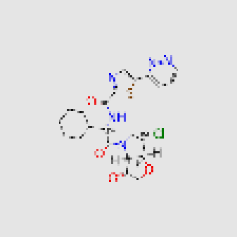 O=C(N[C@H](C(=O)N1C[C@H](Cl)[C@H]2OCC(=O)[C@H]21)C1CCCCC1)c1ncc(-c2cccnn2)s1